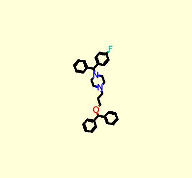 Fc1ccc(C(c2ccccc2)N2CCN(CCCOC(c3ccccc3)c3ccccc3)CC2)cc1